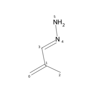 C=C(C)C=NN